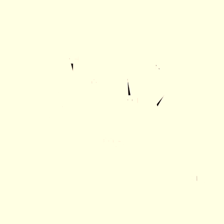 CCOC(=O)CCc1ccccc1[C@@H](C)OC[C@H](O)CN1CCC[C@H]1Cc1ccc(C)cc1